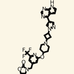 O=C1OCCN1Cc1cc(OC2CCN(C3C[C](n4cc(-c5ncnc6[nH]ccc56)cn4)C3)CC2)nc(C(F)(F)F)c1